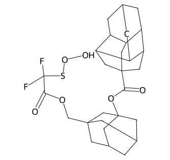 O=C(OC12CC3CC(CC(COC(=O)C(F)(F)SOO)(C3)C1)C2)C12CC3C4CC5CC3C(C1)C(C5)C4C2